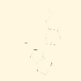 CC(O)c1cc2ccccn2c1-c1ccc(=O)n(CCN)n1